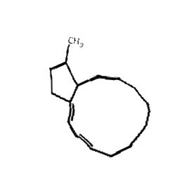 CC1CCC2=CC=CCCCCCCCC21